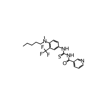 CCCCCN(C)c1ccc(NC(=S)NC(=O)c2cccnc2)cc1C(F)(F)F